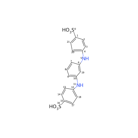 O=S(=O)(O)c1ccc(Nc2cccc(Nc3ccc(S(=O)(=O)O)cc3)c2)cc1